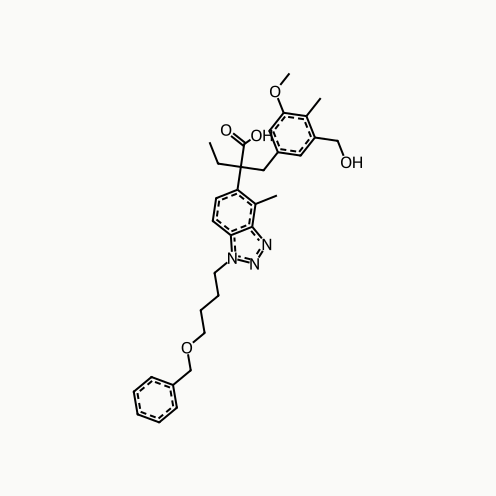 CCC(Cc1cc(CO)c(C)c(OC)c1)(C(=O)O)c1ccc2c(nnn2CCCCOCc2ccccc2)c1C